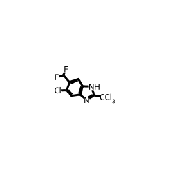 FC(F)c1cc2[nH]c(C(Cl)(Cl)Cl)nc2cc1Cl